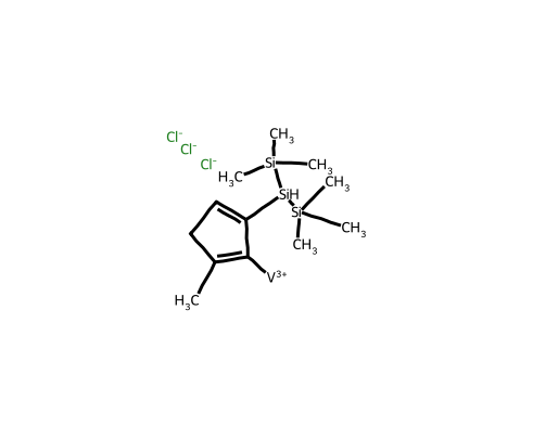 CC1=[C]([V+3])C([SiH]([Si](C)(C)C)[Si](C)(C)C)=CC1.[Cl-].[Cl-].[Cl-]